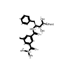 CCCCC[C@H](O)[C@H](O)[C@H](Cc1ccccc1)NC(=O)c1cc(C)cc(C(=O)N(CCC)CCC)c1